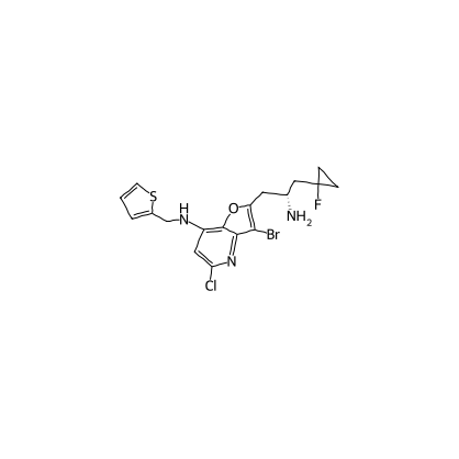 N[C@H](Cc1oc2c(NCc3cccs3)cc(Cl)nc2c1Br)CC1(F)CC1